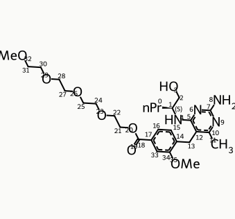 CCC[C@@H](CO)Nc1nc(N)nc(C)c1Cc1ccc(C(=O)OCCOCCOCCOCCOC)cc1OC